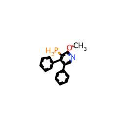 COc1ncc(-c2ccccc2)c(-c2ccccc2)c1P